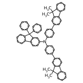 CC1(C)c2ccccc2-c2ccc(-c3ccc(N(c4ccc(-c5ccc6c(c5)C(C)(C)c5ccccc5-6)cc4)c4ccc5c(c4)C(c4ccccc4)(c4ccccc4)c4ccccc4-5)cc3)cc21